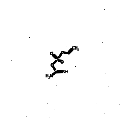 C=CCS(=O)(=O)OC(=N)N